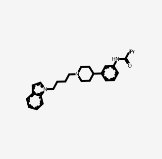 CC(C)C(=O)Nc1cccc(C2CCN(CCCCn3ccc4ccccc43)CC2)c1